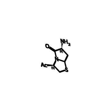 CC(=O)[C@@H]1CSC2C[C@@H](N)C(=O)N21